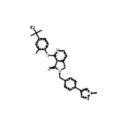 Cn1cc(-c2ccc(CN3Cc4ccnc(Oc5ccc(C(C)(C)O)cc5F)c4C3=O)cc2)cn1